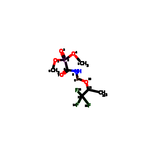 COP(=O)(OC)C(=O)NSOC(C)C(F)(F)F